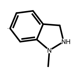 CN1NCc2cc[c]cc21